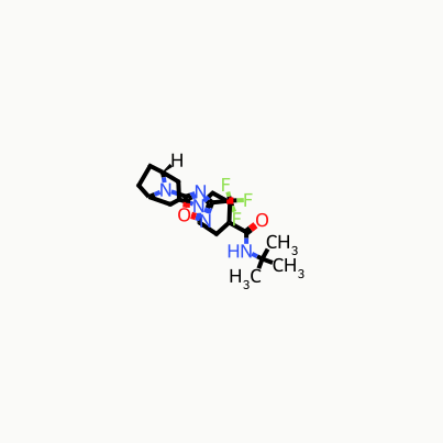 CC(C)(C)NC(=O)C1CCN(C2CC3CC[C@H](C2)N3c2nc(C(F)(F)F)no2)CC1